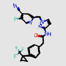 N#Cc1cc(Cn2ccc(NC(=O)Cc3ccc(C4(C(F)(F)F)CC4)cc3)n2)ncc1F